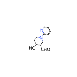 N#CC1CCN(c2ccccn2)CC1C=O